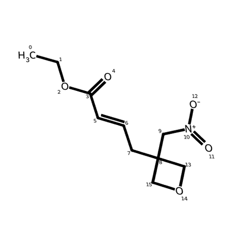 CCOC(=O)/C=C/CC1(C[N+](=O)[O-])COC1